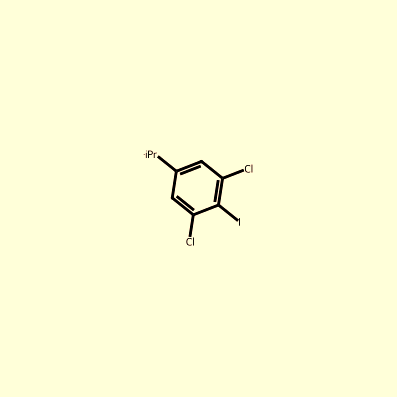 C[C](C)c1cc(Cl)c(I)c(Cl)c1